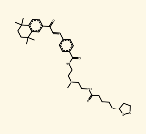 CN(CCNC(=O)CCCC[C@@H]1CCSS1)CCNC(=O)c1ccc(/C=C/C(=O)c2ccc3c(c2)C(C)(C)CCC3(C)C)cc1